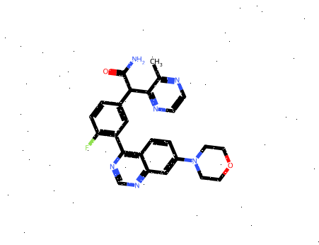 Cc1nccnc1C(C(N)=O)c1ccc(F)c(-c2ncnc3cc(N4CCOCC4)ccc23)c1